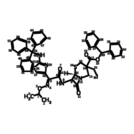 CC(C)ON=C(C(=O)NC1C(=O)N2CC(CI)(C(=O)OC(c3ccccc3)c3ccccc3)CS[C@H]12)c1csc(NC(c2ccccc2)(c2ccccc2)c2ccccc2)n1